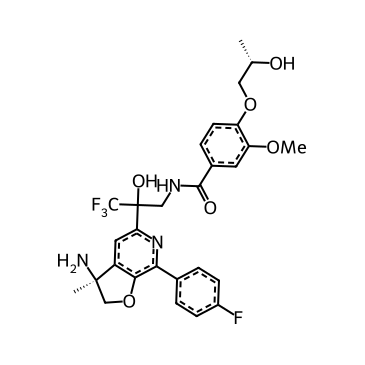 COc1cc(C(=O)NCC(O)(c2cc3c(c(-c4ccc(F)cc4)n2)OC[C@@]3(C)N)C(F)(F)F)ccc1OC[C@H](C)O